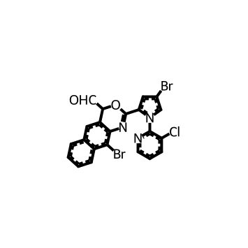 O=CC1OC(c2cc(Br)cn2-c2ncccc2Cl)=Nc2c1cc1ccccc1c2Br